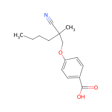 CCCCC(C)(C#N)COc1ccc(C(=O)O)cc1